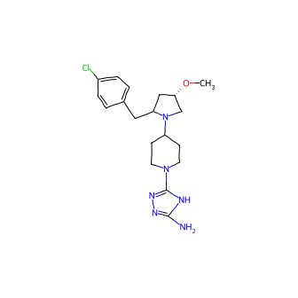 CO[C@H]1CC(Cc2ccc(Cl)cc2)N(C2CCN(c3nnc(N)[nH]3)CC2)C1